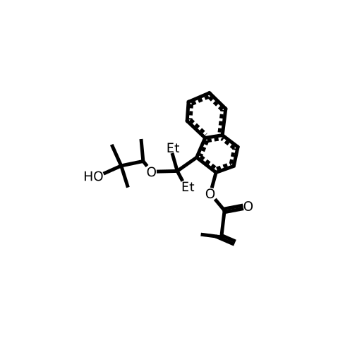 C=C(C)C(=O)Oc1ccc2ccccc2c1C(CC)(CC)OC(C)C(C)(C)O